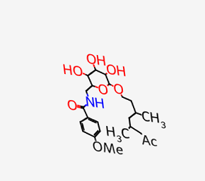 COc1ccc(C(=O)NCC2OC(OCCC(C)CC(C)CC(C)=O)C(O)C(O)C2O)cc1